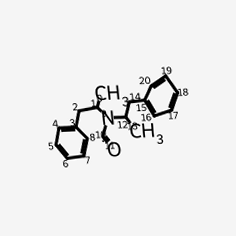 CC(Cc1ccccc1)N([C]=O)C(C)Cc1ccccc1